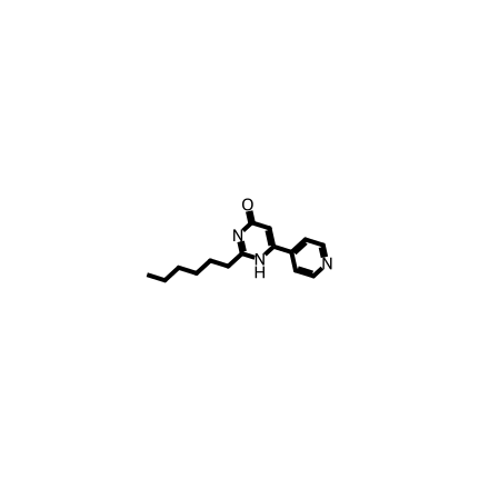 CCCCCCc1nc(=O)cc(-c2ccncc2)[nH]1